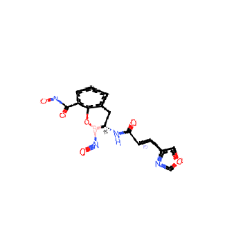 O=NB1Oc2c(cccc2C(=O)N=O)C[C@@H]1NC(=O)/C=C/c1cocn1